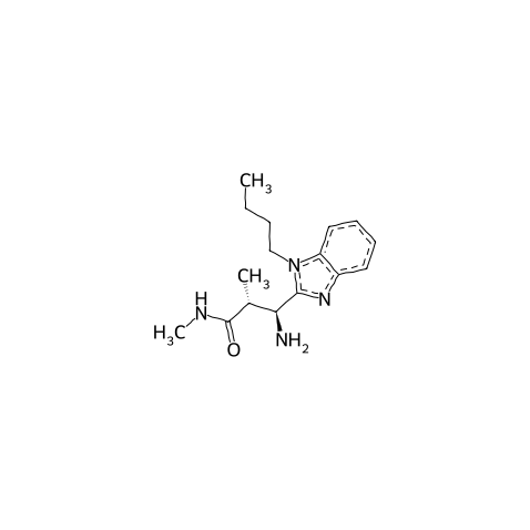 CCCCn1c([C@@H](N)[C@@H](C)C(=O)NC)nc2ccccc21